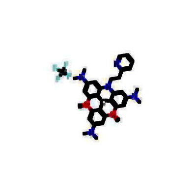 COc1cc(N(C)C)cc(OC)c1-[c+]1c2c(OC)cc(N(C)C)cc2n(CCc2ccccn2)c2cc(N(C)C)cc(OC)c21.F[B-](F)(F)F